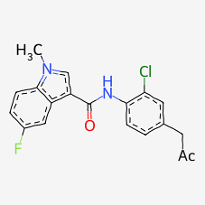 CC(=O)Cc1ccc(NC(=O)c2cn(C)c3ccc(F)cc23)c(Cl)c1